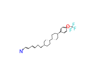 N#CC=CC=CCC[C@H]1CC[C@H]([C@H]2CC[C@H](c3ccc(OC(F)(F)F)cc3)CC2)CC1